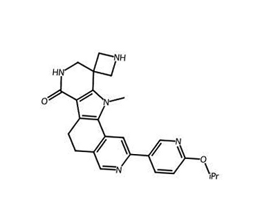 CC(C)Oc1ccc(-c2cc3c(cn2)CCc2c4c(n(C)c2-3)C2(CNC2)CNC4=O)cn1